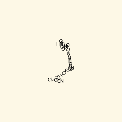 Cc1cc(C(C)(C)c2ccc(OCc3ccnc(N4CCN(C5CN(C6CN(c7ccc8c(c7)C(=O)N(C7CCC(=O)NC7=O)C8=O)C6)C5)CC4)n3)cc2)cc(C#N)c1OCCCl